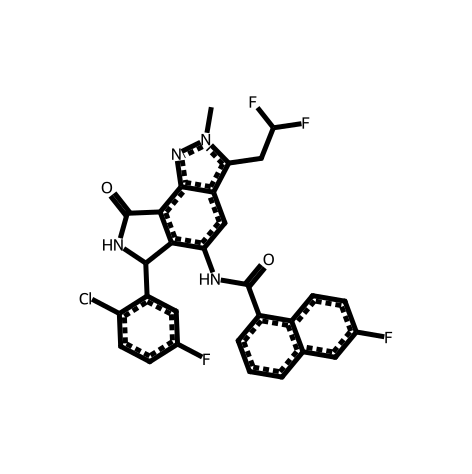 Cn1nc2c3c(c(NC(=O)c4cccc5cc(F)ccc45)cc2c1CC(F)F)C(c1cc(F)ccc1Cl)NC3=O